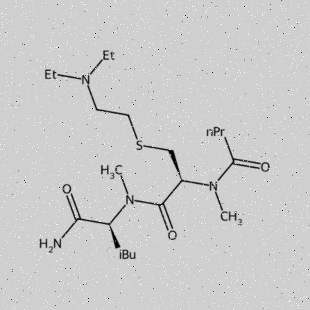 CCCC(=O)N(C)[C@H](CSCCN(CC)CC)C(=O)N(C)[C@H](C(N)=O)C(C)CC